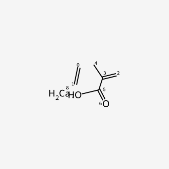 C=C.C=C(C)C(=O)O.[CaH2]